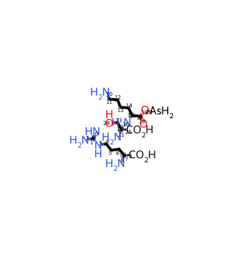 N=C(N)NCCC[C@H](N)C(=O)O.NCCCC[C@H](N)C(=O)O[AsH2].N[C@@H](CO)C(=O)O